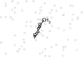 CCCCCCOc1ccc2c(c1)CCC(C1CCC3CC(C=C(F)F)CCC3C1)C2